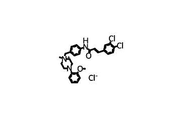 COc1ccccc1N1CC[N+](C)(Cc2ccc(NC(=O)C=Cc3ccc(Cl)c(Cl)c3)cc2)CC1.[Cl-]